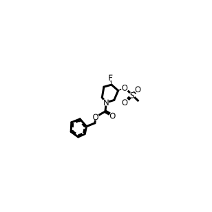 CS(=O)(=O)O[C@@H]1CN(C(=O)OCc2ccccc2)CC[C@@H]1F